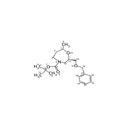 CC1CCN(C(=O)OC(C)(C)C)C[C@H](COCc2ccccc2)O1